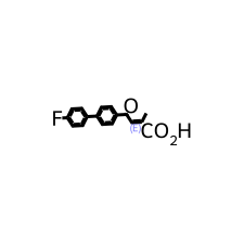 C/C(=C\C(=O)c1ccc(-c2ccc(F)cc2)cc1)C(=O)O